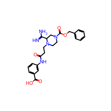 N=C(N)C1CN(C(=O)OCc2ccccc2)CCN1CCC(=O)Nc1cccc(C(=O)O)c1